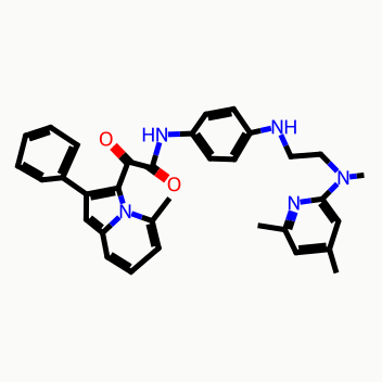 Cc1cc(C)nc(N(C)CCNc2ccc(NC(=O)C(=O)c3c(-c4ccccc4)cc4cccc(C)n34)cc2)c1